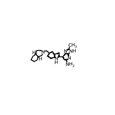 Cc1nc2c(-c3cc4cc(CN5CC[C@@H]6CCCC[C@H]6C5)ccc4[nH]3)cc(N)nc2[nH]1